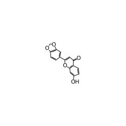 O=c1cc(-c2ccc3c(c2)OCO3)oc2cc(O)ccc12